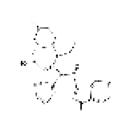 CCC(c1c(C(=O)O)c2ccccc2n1C(=O)c1c[nH]c2ccccc12)N1CCN(C)CC1